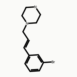 Brc1cccc(/C=C/CN2CC[N]CC2)c1